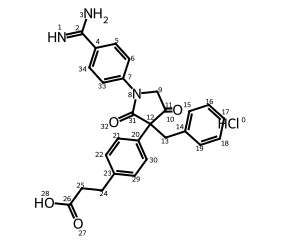 Cl.N=C(N)c1ccc(N2CC(=O)C(Cc3ccccc3)(c3ccc(CCC(=O)O)cc3)C2=O)cc1